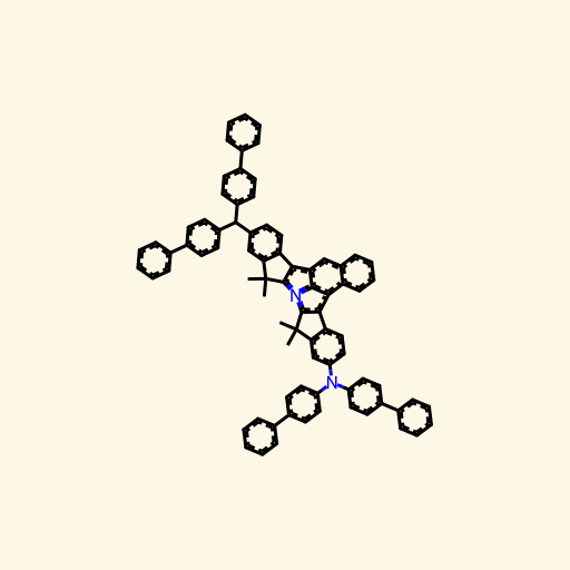 CC1(C)c2cc(C(c3ccc(-c4ccccc4)cc3)c3ccc(-c4ccccc4)cc3)ccc2-c2c1n1c3c(c4c5ccccc5cc2c41)-c1ccc(N(c2ccc(-c4ccccc4)cc2)c2ccc(-c4ccccc4)cc2)cc1C3(C)C